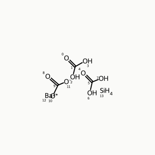 O=C(O)O.O=C(O)O.O=C([O-])[O-].[Ba+2].[SiH4]